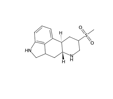 CS(=O)(=O)C1CN[C@@H]2CC3CNc4cccc(c43)[C@H]2C1